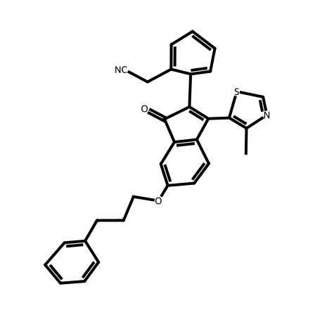 Cc1ncsc1C1=C(c2ccccc2CC#N)C(=O)c2cc(OCCCc3ccccc3)ccc21